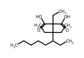 CCCCCC(CC)C(CC)(CC)C(CC)(C(=O)O)C(=O)O